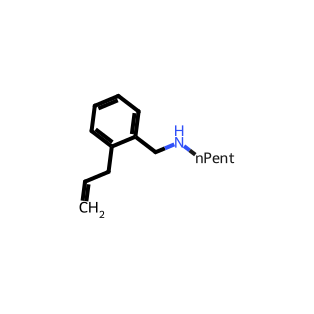 C=CCc1ccccc1CNCCCCC